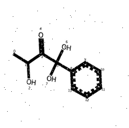 CC(O)C(=O)C(O)(O)c1ccccc1